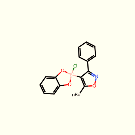 CCCCc1onc(-c2ccccc2)c1[B-]1(Cl)Oc2ccccc2O1